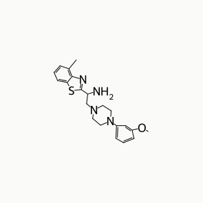 COc1cccc(N2CCN(CC(N)c3nc4c(C)cccc4s3)CC2)c1